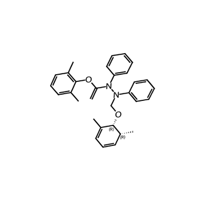 C=C(Oc1c(C)cccc1C)N(c1ccccc1)N(CO[C@H]1C(C)=CC=C[C@H]1C)c1ccccc1